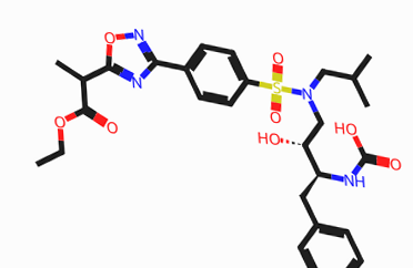 CCOC(=O)C(C)c1nc(-c2ccc(S(=O)(=O)N(CC(C)C)C[C@@H](O)[C@H](Cc3ccccc3)NC(=O)O)cc2)no1